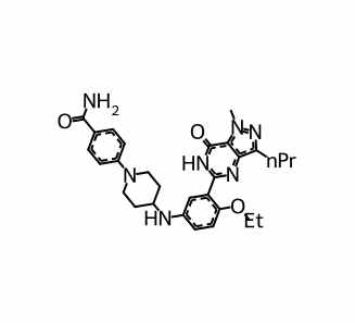 CCCc1nn(C)c2c(=O)[nH]c(-c3cc(NC4CCN(c5ccc(C(N)=O)cc5)CC4)ccc3OCC)nc12